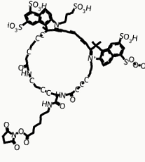 CC1(C)C2=[N+](CCCCCC(=O)NC(C(=O)NCCCCCC(=O)ON3C(=O)CCC3=O)CCCCNC(=O)CCCCCC3(C)/C(=C/C=C/C=C/2)N(CCCS(=O)(=O)O)c2ccc4c(S(=O)(=O)O)cc(S(=O)(=O)O)cc4c23)c2ccc3c(SOOO)cc(S(=O)(=O)O)cc3c21